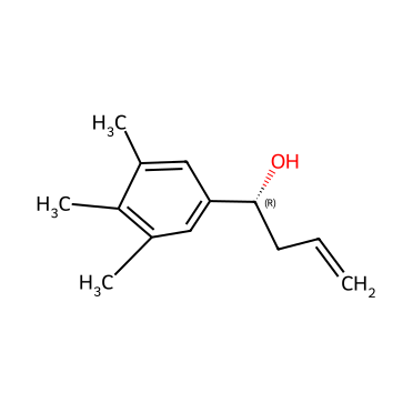 C=CC[C@@H](O)c1cc(C)c(C)c(C)c1